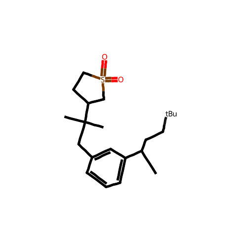 CC(CCC(C)(C)C)c1cccc(CC(C)(C)C2CCS(=O)(=O)C2)c1